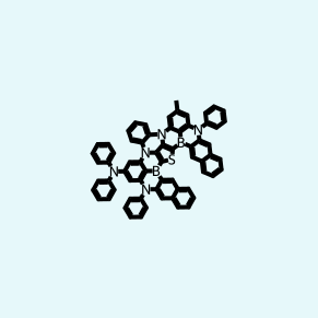 Cc1cc2c3c(c1)N1c4ccccc4N4c5cc(N(c6ccccc6)c6ccccc6)cc6c5B(c5cc7ccccc7cc5N6c5ccccc5)c5sc(c1c54)B3c1cc3ccccc3cc1N2c1ccccc1